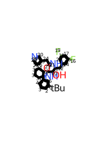 CC(C)(C)c1cccc(C2(NCC(O)C(Cc3cc(F)cc(F)c3)NC(=O)Cc3cccnc3)CCCCC2)c1